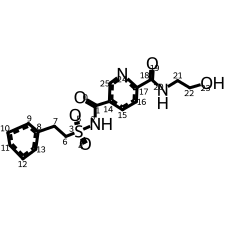 O=C(NS(=O)(=O)CCc1ccccc1)c1ccc(C(=O)NCCO)nc1